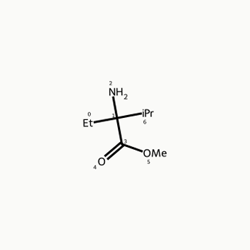 CCC(N)(C(=O)OC)C(C)C